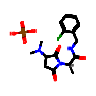 C[C@@H](C(=O)NCc1ccccc1F)N1C(=O)CC(N(C)C)C1=O.O=S(=O)(O)O